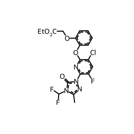 CCOC(=O)COc1ccccc1Oc1nc(-n2nc(C)n(C(F)F)c2=O)c(F)cc1Cl